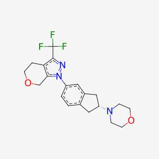 FC(F)(F)c1nn(-c2ccc3c(c2)C[C@H](N2CCOCC2)C3)c2c1CCOC2